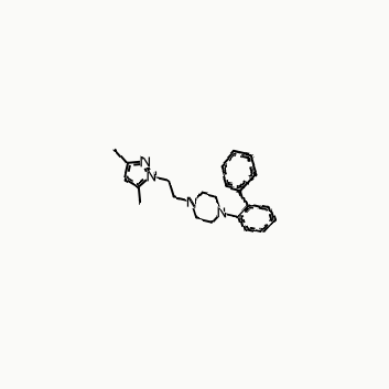 Cc1cc(C)n(CCN2CCN(c3ccccc3-c3ccccc3)CC2)n1